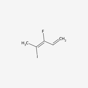 C=CC(F)=C(C)I